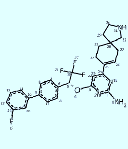 Nc1nc(O[C@H](c2ccc(-c3cccc(F)c3)cc2)C(F)(F)F)cc(C2=CCC3(CCNC3)CC2)n1